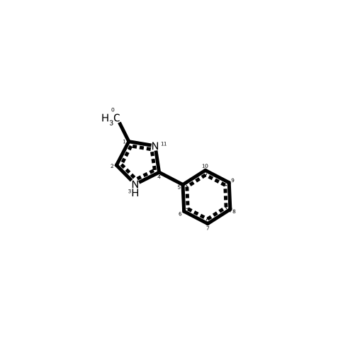 Cc1c[nH]c(-c2cc[c]cc2)n1